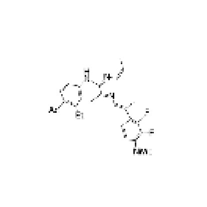 C\C=C/N=C(Nc1ccc(C(C)=O)c(CC)c1)\C(C)=N\C=C(/C)c1ccc(NC)c(F)c1F